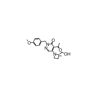 COc1ccc(Cn2ncc(N3CC[C@@H]3CO)c(C(C)=O)c2=O)cc1